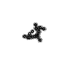 Cc1ccc(-c2ccccc2)cc1N(c1ccc2cc3c4cc(-c5ccccc5)cc5c6cc7ccc(N(c8cc(-c9ccccc9)ccc8C)c8cc(-c9ccccc9)ccc8C)cc7cc6n(c3cc2c1)c45)c1cc(-c2ccccc2)ccc1C